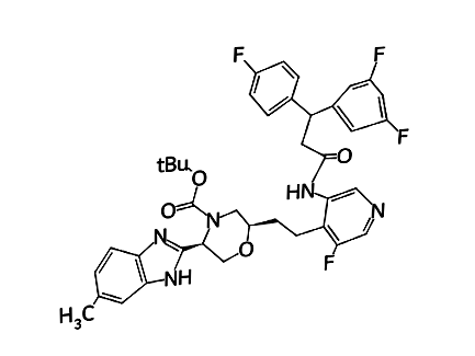 Cc1ccc2nc([C@@H]3CO[C@H](CCc4c(F)cncc4NC(=O)CC(c4ccc(F)cc4)c4cc(F)cc(F)c4)CN3C(=O)OC(C)(C)C)[nH]c2c1